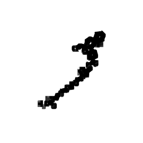 CC(=O)NCCOCCOCCOCCn1cc(COC(=O)c2ccc([C@@H]3c4[nH]c5ccccc5c4CCN3C(=O)CCl)cc2)nn1